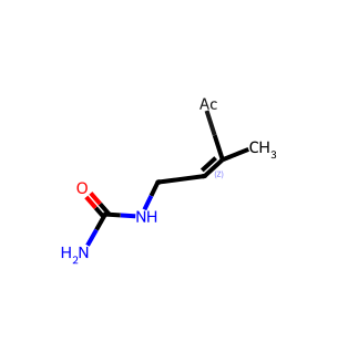 CC(=O)/C(C)=C\CNC(N)=O